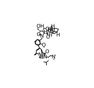 C=C(/C=C(\C=C\C(=O)N[C@@H](CC(C)C)CN(C)C)c1cccc(CN2O[C@@H](CO)[C@@H]([C@H](C)O)[C@H]2C(=O)N[C@H]2C[C@H]3C[C@@H]([C@@H]2C)C3(C)C)c1OC)NCC